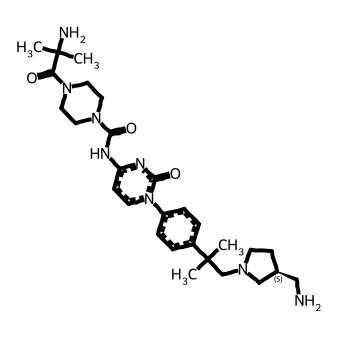 CC(C)(N)C(=O)N1CCN(C(=O)Nc2ccn(-c3ccc(C(C)(C)CN4CC[C@@H](CN)C4)cc3)c(=O)n2)CC1